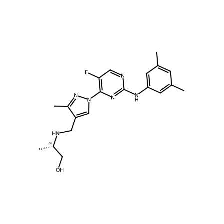 Cc1cc(C)cc(Nc2ncc(F)c(-n3cc(CN[C@@H](C)CO)c(C)n3)n2)c1